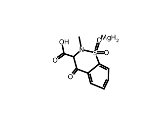 CN1C(C(=O)O)C(=O)c2ccccc2S1(=O)=O.[MgH2]